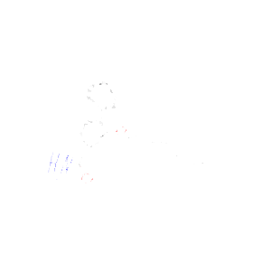 CCCCCCCCCOc1cc(C(N)=O)ccc1-c1ccccc1